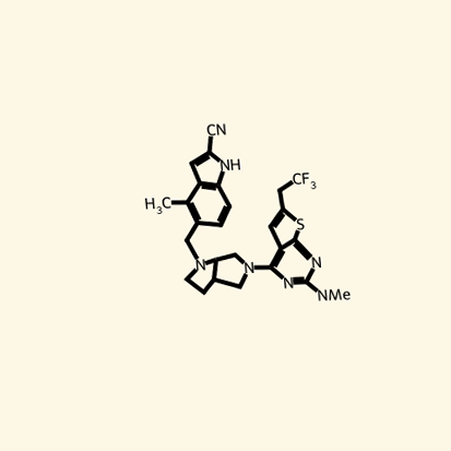 CNc1nc(N2CC3CCN(Cc4ccc5[nH]c(C#N)cc5c4C)C3C2)c2cc(CC(F)(F)F)sc2n1